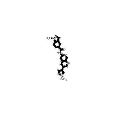 Cn1cc(-c2cnc3cnc(NC(=O)c4ccc5c(cnn5C)c4)cc3c2)cn1